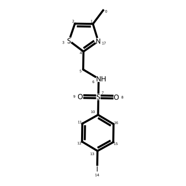 Cc1csc(CNS(=O)(=O)c2ccc(I)cc2)n1